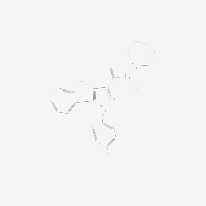 O=C(c1nn(-c2ccc(Cl)cc2)c2c1Cc1ccccc1-2)N(Cl)N1CCCCC1